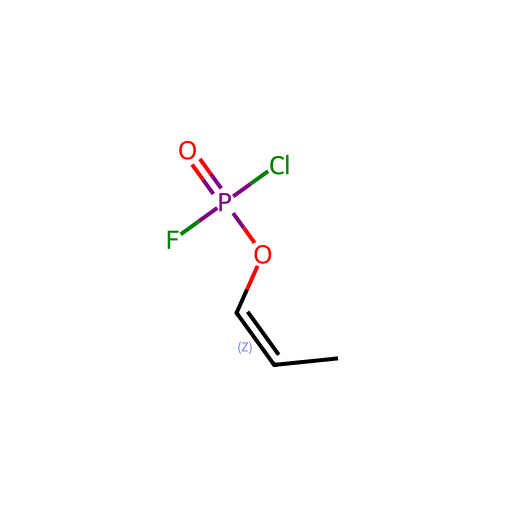 C/C=C\OP(=O)(F)Cl